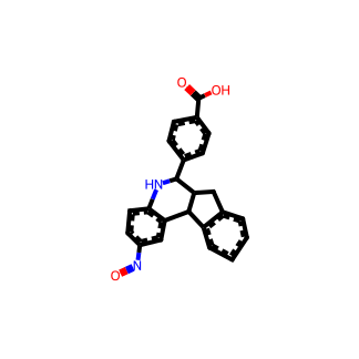 O=Nc1ccc2c(c1)C1c3ccccc3CC1C(c1ccc(C(=O)O)cc1)N2